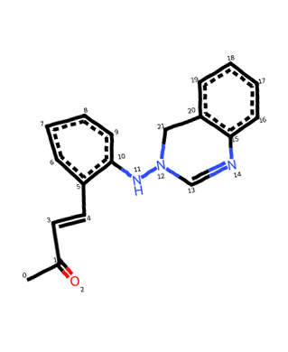 CC(=O)C=Cc1ccccc1NN1C=Nc2ccccc2C1